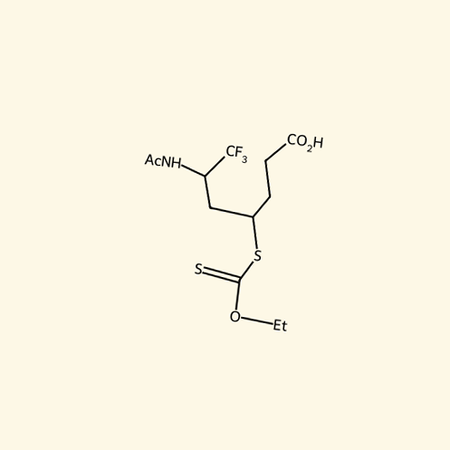 CCOC(=S)SC(CCC(=O)O)CC(NC(C)=O)C(F)(F)F